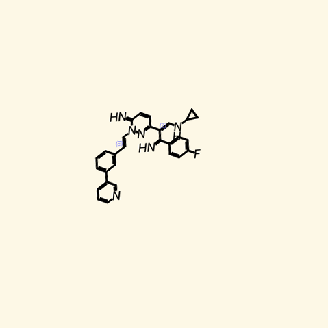 N=C(/C(=C\NC1CC1)c1ccc(=N)n(/C=C/c2cccc(-c3cccnc3)c2)n1)c1ccc(F)cc1